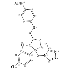 CC(=O)Nc1ccc(SCC2COC(Cn3ccnc3C)(c3ccc(Cl)cc3Cl)O2)cc1